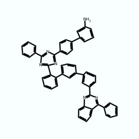 Nc1cccc(-c2ccc(-c3nc(-c4ccccc4)nc(-c4ccccc4-c4cccc(-c5cccc(-c6nc(-c7ccccc7)c7ccccc7n6)c5)c4)n3)cc2)c1